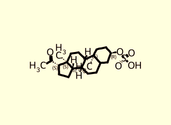 CC(=O)[C@H]1CC[C@H]2[C@@H]3CCC4C[C@H](OS(=O)(=O)O)CC[C@]4(C)[C@H]3CC[C@]12C